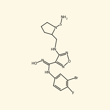 NSN1CCCC1CNc1nonc1/C(=N/O)Nc1ccc(F)c(Br)c1